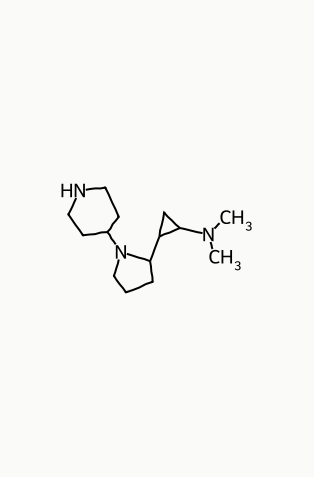 CN(C)C1CC1C1CCCN1C1CCNCC1